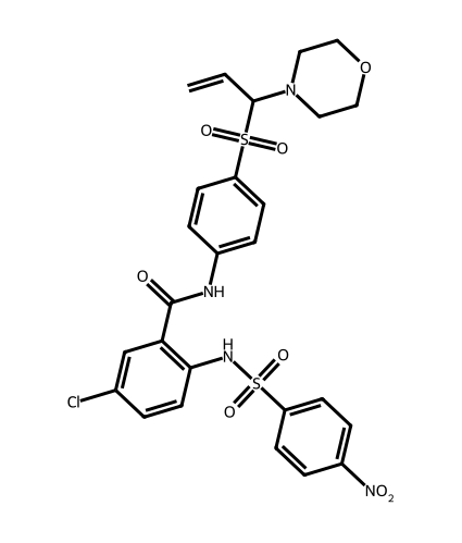 C=CC(N1CCOCC1)S(=O)(=O)c1ccc(NC(=O)c2cc(Cl)ccc2NS(=O)(=O)c2ccc([N+](=O)[O-])cc2)cc1